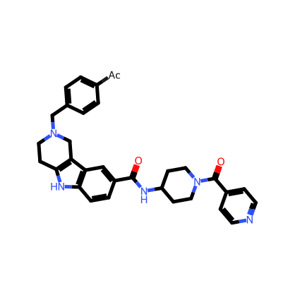 CC(=O)c1ccc(CN2CCc3[nH]c4ccc(C(=O)NC5CCN(C(=O)c6ccncc6)CC5)cc4c3C2)cc1